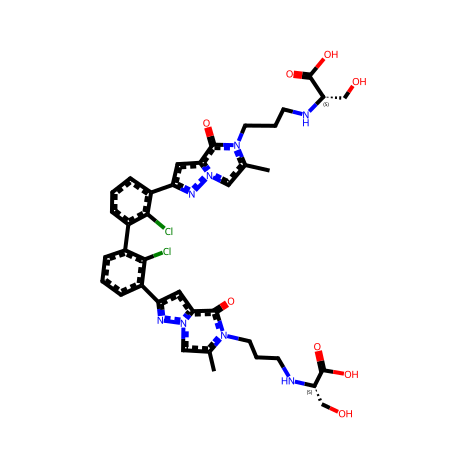 Cc1cn2nc(-c3cccc(-c4cccc(-c5cc6c(=O)n(CCCN[C@@H](CO)C(=O)O)c(C)cn6n5)c4Cl)c3Cl)cc2c(=O)n1CCCN[C@@H](CO)C(=O)O